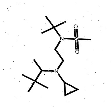 CC(N(CCN(C(C)(C)C)S(C)(=O)=O)C1CC1)C(C)(C)C